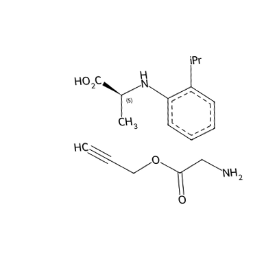 C#CCOC(=O)CN.CC(C)c1ccccc1N[C@@H](C)C(=O)O